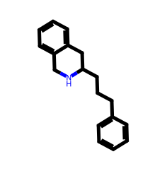 c1ccc(CCCC2Cc3ccccc3CN2)cc1